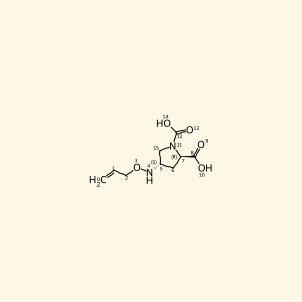 C=CCON[C@H]1C[C@H](C(=O)O)N(C(=O)O)C1